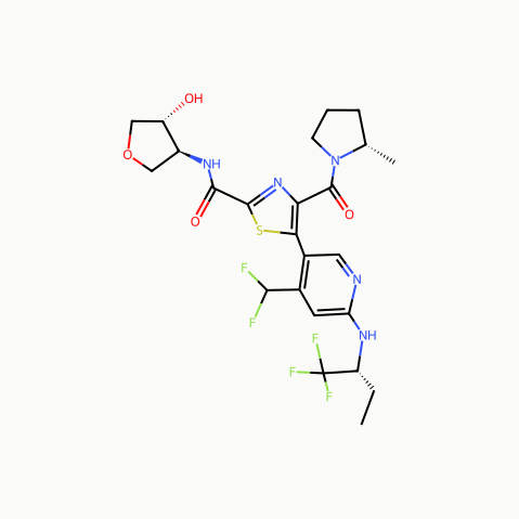 CC[C@@H](Nc1cc(C(F)F)c(-c2sc(C(=O)N[C@H]3COC[C@@H]3O)nc2C(=O)N2CCC[C@@H]2C)cn1)C(F)(F)F